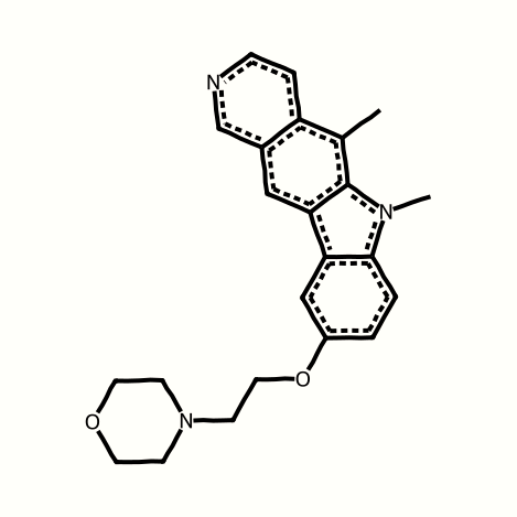 Cc1c2ccncc2cc2c3cc(OCCN4CCOCC4)ccc3n(C)c12